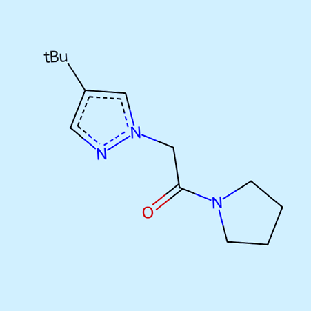 CC(C)(C)c1cnn(CC(=O)N2CCCC2)c1